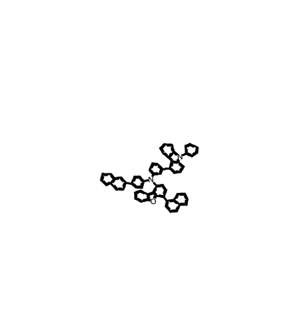 c1ccc(-n2c3ccccc3c3c(-c4cccc(N(c5ccc(-c6ccc7ccccc7c6)cc5)c5ccc(-c6cccc7ccccc67)c6oc7ccccc7c56)c4)cccc32)cc1